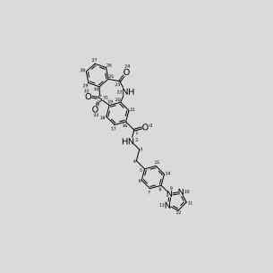 O=C(NCCc1ccc(-n2nccn2)cc1)c1ccc2c(c1)NC(=O)c1ccccc1S2(=O)=O